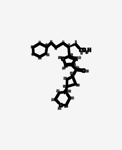 O=C(O)C[C@@H](CCCC1CCCCC1)c1nc(C(=O)N2CC(N3CCOCC3)C2)no1